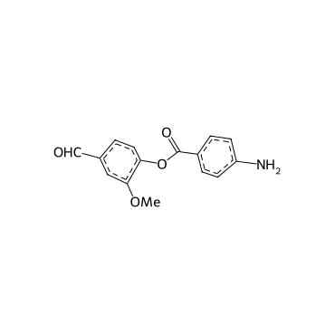 COc1cc(C=O)ccc1OC(=O)c1ccc(N)cc1